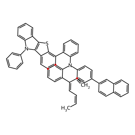 C=C/C(=C\C=C/C)c1ccccc1N(c1ccc(-c2ccc3ccccc3c2)cc1)c1ccccc1-c1cccc2c1sc1c3ccccc3n(-c3ccccc3)c21